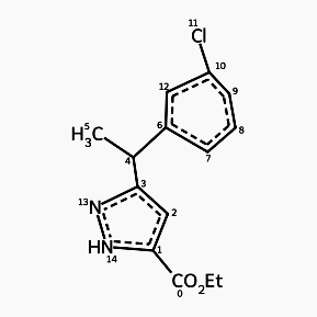 CCOC(=O)c1cc(C(C)c2cccc(Cl)c2)n[nH]1